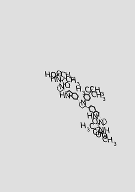 COC(=O)N[C@H](C(=O)N1CCC[C@H]1c1cc2ccc(C3CC[C@H](c4ccc5cc([C@@H]6CCCN6C(=O)[C@@H](NC(=O)O)C(C)C)[nH]c5c4)N3c3ccc(C(C)(C)C)cc3)cc2[nH]1)C(C)C